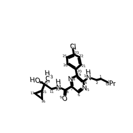 CC(C)CCNc1ncc(C(=O)NC[C@](C)(O)C2CC2)nc1-c1ccc(Cl)cc1